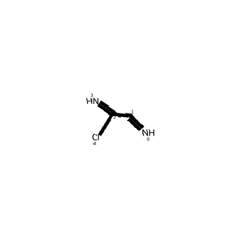 N=CC(=N)Cl